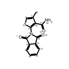 Cc1csc(N2C(=O)c3ccccc3C2=O)c1C(N)=O